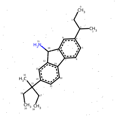 CCC(C)c1ccc2c(c1)C(N)c1cc(C(C)(CC)CC)ccc1-2